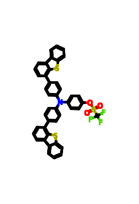 O=S(=O)(Oc1ccc(N(c2ccc(-c3cccc4c3sc3ccccc34)cc2)c2ccc(-c3cccc4c3sc3ccccc34)cc2)cc1)C(F)(F)F